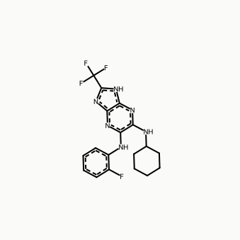 Fc1ccccc1Nc1nc2nc(C(F)(F)F)[nH]c2nc1NC1CCCCC1